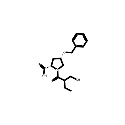 CCC(CS)C(=O)N1C[C@@H](OCc2ccccc2)C[C@H]1C(=O)O